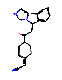 N#CC=C1CCC(C(O)CC2c3ccccc3C3=CNCN32)CC1